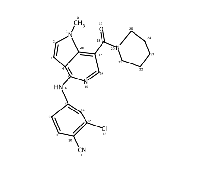 Cn1ccc2c(Nc3ccc(C#N)c(Cl)c3)ncc(C(=O)N3CCCCC3)c21